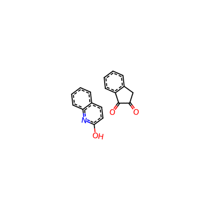 O=C1Cc2ccccc2C1=O.Oc1ccc2ccccc2n1